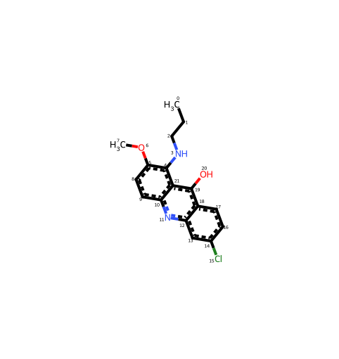 CCCNc1c(OC)ccc2nc3cc(Cl)ccc3c(O)c12